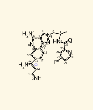 CC(Cn1cc2c(N)nc3cc(/C(N)=C/C=N)ccc3c2n1)NC(=O)c1cc(F)ccn1